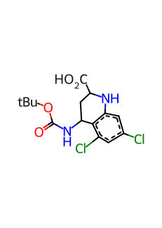 CC(C)(C)OC(=O)NC1CC(C(=O)O)Nc2cc(Cl)cc(Cl)c21